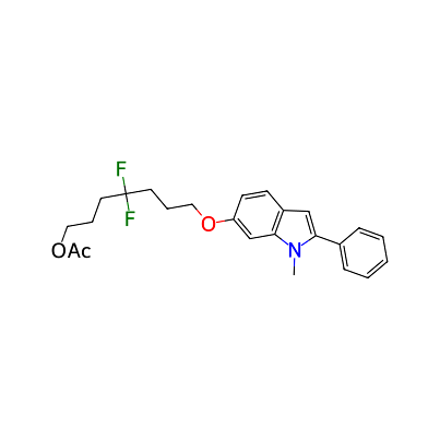 CC(=O)OCCCC(F)(F)CCCOc1ccc2cc(-c3ccccc3)n(C)c2c1